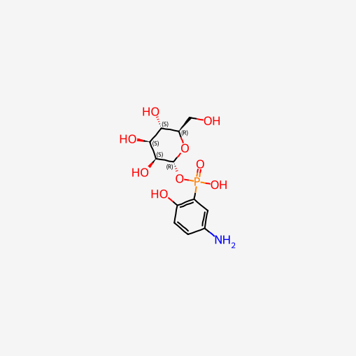 Nc1ccc(O)c(P(=O)(O)O[C@H]2O[C@H](CO)[C@@H](O)[C@H](O)[C@@H]2O)c1